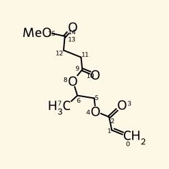 C=CC(=O)OCC(C)OC(=O)CCC(=O)OC